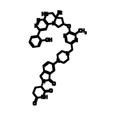 CC[C@]12CNc3nnc(-c4ccccc4O)cc3N1C[C@H](Oc1ncc(CN3CCN(c4ccc5c(c4)C(=O)N([C@H]4CCC(=O)NC4=O)C5)CC3)nc1C)C2